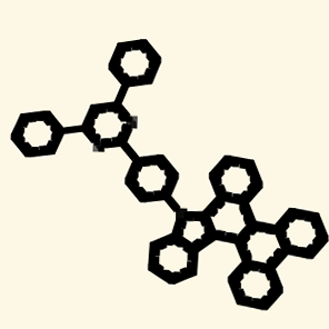 c1ccc(-c2cc(-c3ccccc3)nc(-c3ccc(-n4c5ccccc5c5c6c7ccccc7c7ccccc7c6c6ccccc6c54)cc3)n2)cc1